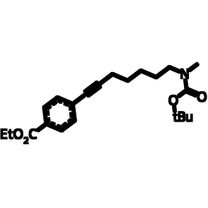 CCOC(=O)c1ccc(C#CCCCCCN(C)C(=O)OC(C)(C)C)cc1